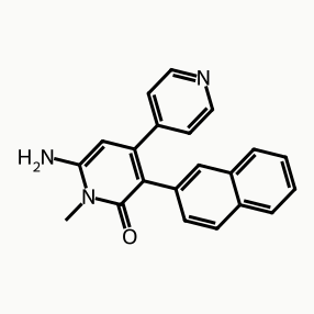 Cn1c(N)cc(-c2ccncc2)c(-c2ccc3ccccc3c2)c1=O